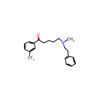 CN(CCCCC(=O)c1cccc(C(F)(F)F)c1)CCc1ccccc1